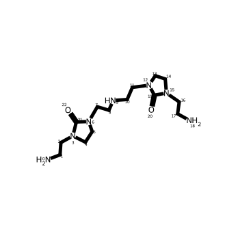 NCCN1CCN(CCNCCN2CCN(CCN)C2=O)C1=O